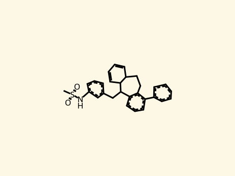 CS(=O)(=O)Nc1cccc(CC2c3cccc(-c4ccccc4)c3CCC3C=CC=CC32)c1